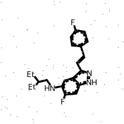 CCC(CC)CNc1cc2c(C=Cc3ccc(F)cc3)n[nH]c2cc1F